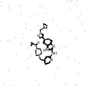 O=C(C1CC1)N1CCN(Cc2ccnc(Nc3nc4ccc(-c5cnn(CC6CCC6)c5)cc4[nH]3)c2)CC1